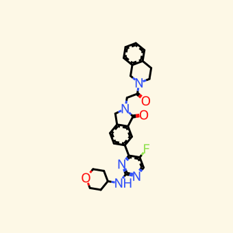 O=C(CN1Cc2ccc(-c3nc(NC4CCOCC4)ncc3F)cc2C1=O)N1CCc2ccccc2C1